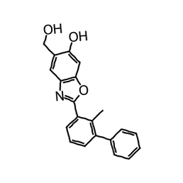 Cc1c(-c2ccccc2)cccc1-c1nc2cc(CO)c(O)cc2o1